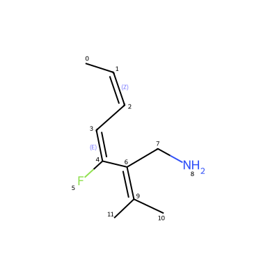 C/C=C\C=C(\F)C(CN)=C(C)C